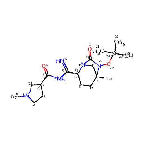 CC(=O)N1CC[C@H](C(=O)NC(=N)[C@@H]2CC[C@@H]3CN2C(=O)N3O[Si](C)(C)C(C)(C)C)C1